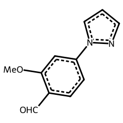 COc1cc(-n2cccn2)ccc1C=O